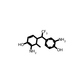 CC1C(N)=C(O)C=CC1C(c1ccc(O)c(N)c1)C(F)(F)F